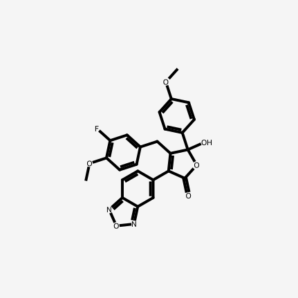 COc1ccc(C2(O)OC(=O)C(c3ccc4nonc4c3)=C2Cc2ccc(OC)c(F)c2)cc1